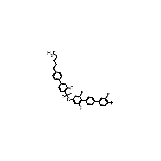 CCCCCc1ccc(-c2ccc(C(F)(F)Oc3cc(F)c(-c4ccc(-c5ccc(F)c(F)c5)cc4)c(F)c3)c(F)c2)cc1